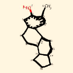 Cc1cc2c(cc1O)CCC1C2CCC2CCCC21